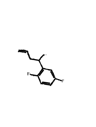 [CH2]C(CC=C)c1cc(F)ccc1F